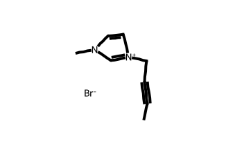 CC#CC[n+]1ccn(C)c1.[Br-]